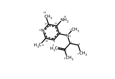 C=C(C)C(CC)N(C)c1cc(C)nc(C)c1N